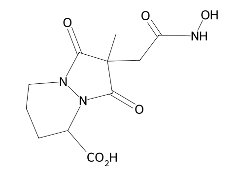 CC1(CC(=O)NO)C(=O)N2CCCC(C(=O)O)N2C1=O